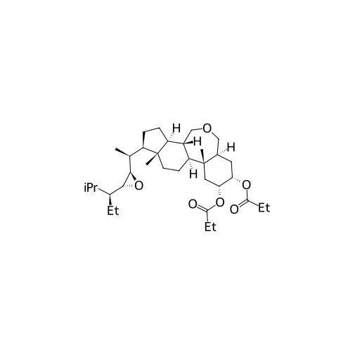 CCC(=O)O[C@H]1C[C@@H]2COC[C@@H]3[C@H](CC[C@]4(C)[C@@H]([C@H](C)[C@H]5O[C@@H]5[C@@H](CC)C(C)C)CC[C@@H]34)[C@@]2(C)C[C@H]1OC(=O)CC